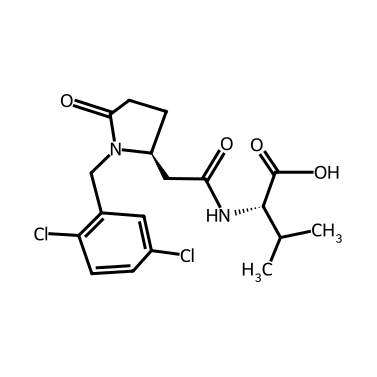 CC(C)[C@H](NC(=O)C[C@@H]1CCC(=O)N1Cc1cc(Cl)ccc1Cl)C(=O)O